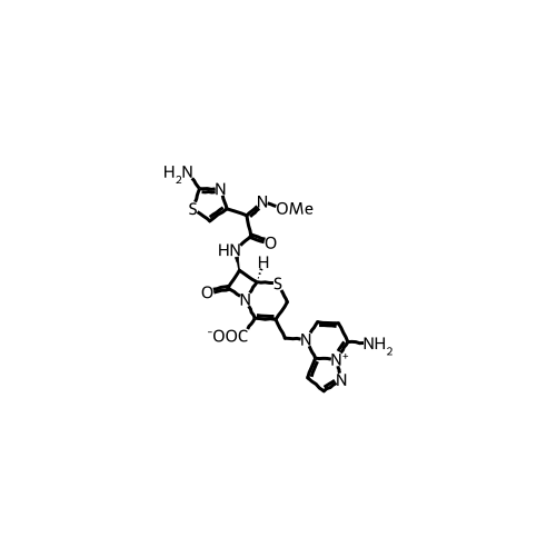 CO/N=C(\C(=O)N[C@@H]1C(=O)N2C(C(=O)[O-])=C(Cn3ccc(N)[n+]4nccc3-4)CS[C@H]12)c1csc(N)n1